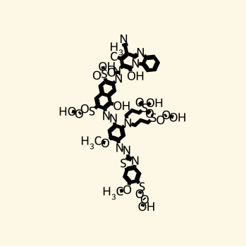 COc1cc(N=Nc2c(SOOO)cc3cc(S(=O)(=O)O)c(N=Nc4c(C)c(C#N)c5nc6ccccc6n5c4O)cc3c2O)c(N(CCCSOOO)CCCS(=O)(=O)O)cc1N=Nc1nc2cc(SOOO)c(OC)cc2s1